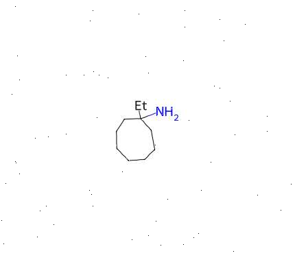 CCC1(N)CCCCCCC1